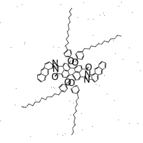 CCCCCCCCCCCCc1ccc(Oc2cc3c(=O)n4c(nc5ccc6cc7ccccc7cc6c54)c4cc(Oc5ccc(CCCCCCCCCCCC)cc5)c5c6c(Oc7ccc(CCCCCCCCCCCC)cc7)cc7c(=O)n8c(nc9ccc%10cc%11ccccc%11cc%10c98)c8cc(Oc9ccc(CCCCCCCCCCCC)cc9)c(c2c5c34)c6c78)cc1